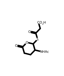 CC(=O)NC1CCC(=O)OC1SC(=O)CC(=O)O